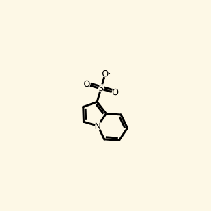 [O]S(=O)(=O)c1ccn2ccccc12